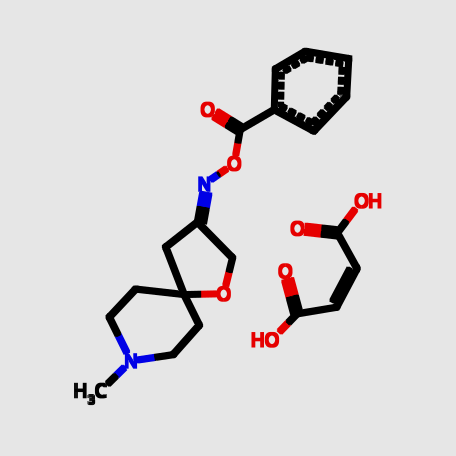 CN1CCC2(CC1)C/C(=N/OC(=O)c1ccccc1)CO2.O=C(O)/C=C\C(=O)O